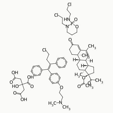 CC(=O)O[C@]1(C(C)=O)CC[C@H]2[C@@H]3C=C(C)C4=CC(=O)CC[C@]4(C)[C@H]3CC[C@@]21C.CN(C)CCOc1ccc(/C(=C(/CCCl)c2ccccc2)c2ccccc2)cc1.O=C(O)CC(O)(CC(=O)O)C(=O)O.O=P1(NCCCl)OCCCN1CCCl